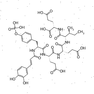 CC[C@H](C)[C@H](NC(=O)[C@H](CCC(=O)O)NC(=O)[C@H](CCC(=O)O)NC(=O)[C@H](Cc1ccc(OP(=O)(O)O)cc1)NC(=O)/C=C/c1ccc(O)c(O)c1)C(=O)N[C@@H](CCC(=O)O)C(=O)O